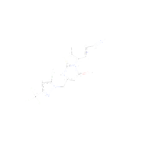 Cc1sc2nc(Cn3nc(C(F)(F)F)cc3Cl)cc(=O)n2c1/C=C/C#N